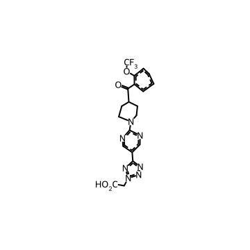 O=C(O)Cn1nnc(-c2cnc(N3CCC(C(=O)c4ccccc4OC(F)(F)F)CC3)nc2)n1